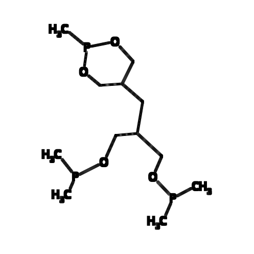 CP(C)OCC(COP(C)C)CC1COP(C)OC1